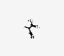 CC(C#N)C(=O)Cl